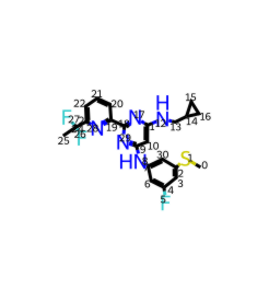 CSc1cc(F)cc(Nc2cc(NCC3CC3)nc(-c3cccc(C(C)(F)F)n3)n2)c1